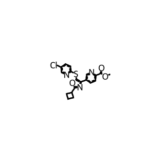 COC(=O)c1ccc(-c2nc(C3CCC3)oc2Sc2ccc(Cl)cn2)cn1